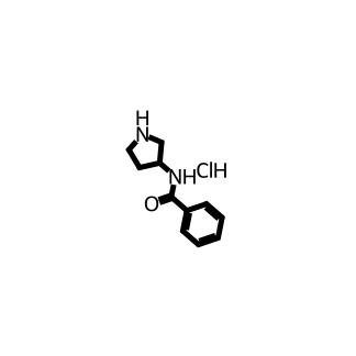 Cl.O=C(NC1CCNC1)c1ccccc1